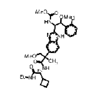 CCNC(=O)[C@H](NC(=O)C(C)(COC)c1ccc2[nH]c(C(NC(=O)OC)C(OC)c3ccccc3Cl)nc2c1)C1CCC1